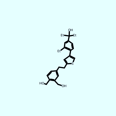 CCc1cc(C(O)(CC)CC)ccc1-c1csc(CCc2ccc(CO)c(CO)c2)c1